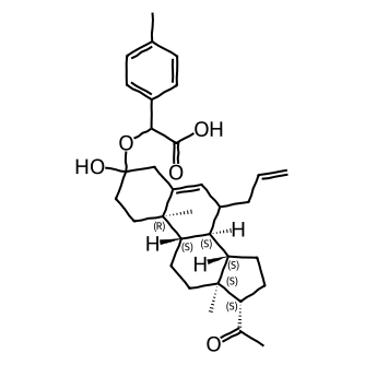 C=CCC1C=C2CC(O)(OC(C(=O)O)c3ccc(C)cc3)CC[C@]2(C)[C@H]2CC[C@]3(C)[C@@H](C(C)=O)CC[C@H]3[C@H]12